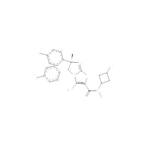 CC(C)C1=C(C(=O)N(C)C2CC(O)C2)SC2=N[C@@](C)(c3ccc(Cl)cc3)[C@@H](c3ccc(Cl)cc3)N21